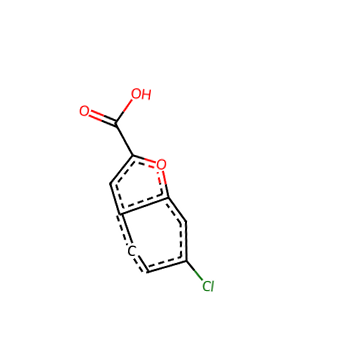 O=C(O)c1cc2ccc(Cl)cc2o1